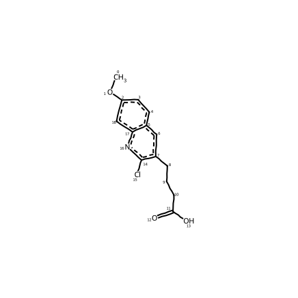 COc1ccc2cc(CCCC(=O)O)c(Cl)nc2c1